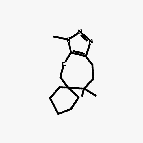 Cn1nnc2c1CCC1(CCCCC1)C(C)(C)CC2